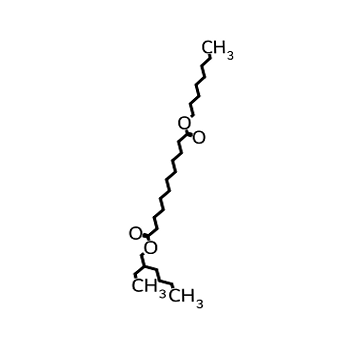 CCCCCCCCOC(=O)CCCCCCCCCCC(=O)OCC(CC)CCCC